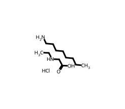 CCCCCCCCN.CCNCC(=O)O.Cl